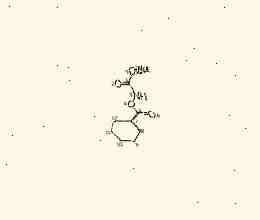 CC(C)COC(=O)NOC(=O)C1CCCCC1